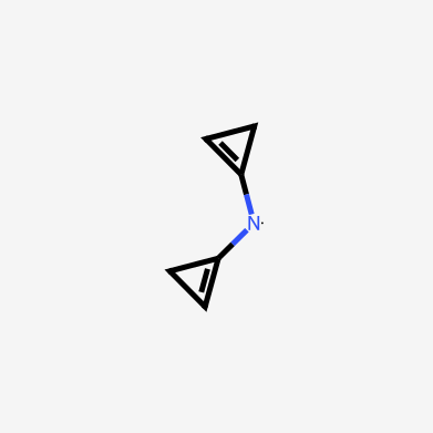 C1=C([N]C2=CC2)C1